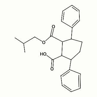 CC(C)COC(=O)C1C(c2ccccc2)CCC(c2ccccc2)C1C(=O)O